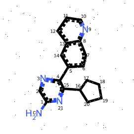 Nc1cnc(-c2ccc3ncccc3c2)c(C2CCCC2)n1